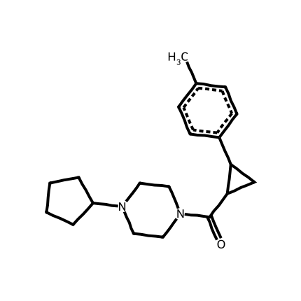 Cc1ccc(C2CC2C(=O)N2CCN(C3CCCC3)CC2)cc1